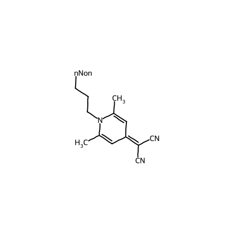 CCCCCCCCCCCCN1C(C)=CC(=C(C#N)C#N)C=C1C